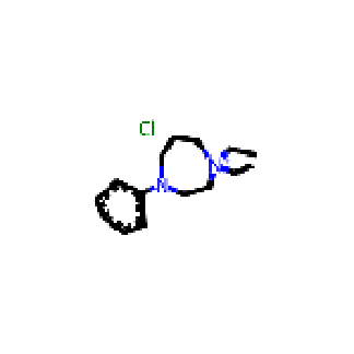 CC[N+]1(CC)CCCN(c2ccccc2)CC1.[Cl-]